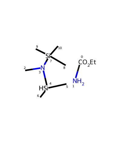 CCOC(N)=O.CN([SiH](C)C)[Si](C)(C)C